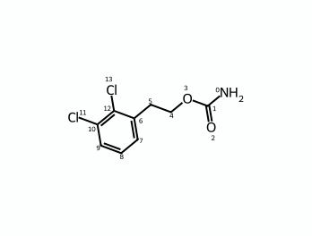 NC(=O)OCCc1cccc(Cl)c1Cl